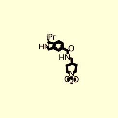 CC(C)[C@@H]1NCc2cc(C(=O)NCC3CCN(S(C)(=O)=O)CC3)ccc21